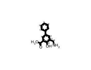 CC(=O)c1cc(-c2ccccc2)cc(CN)c1O